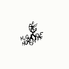 CN(C(=O)O)c1cc(-c2cnc(C(F)(F)F)nc2)c(OC(F)(F)F)cn1